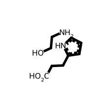 NCCO.O=C(O)CCc1ccc[nH]1